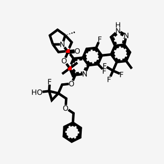 Cc1cc2n[nH]cc2c(-c2c(F)cc3c(N4CC5CC[C@@](C)(C4)N5C(=O)OC(C)(C)C)nc(OCC4(COCc5ccccc5)CC4(O)F)nc3c2F)c1C(F)(F)F